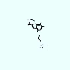 CN1CCn2c(cc3c(OCCCO[Si](C)(C)C(C)(C)C)cc(Cl)c(Cl)c32)C1=O